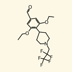 CCOc1cc(C=O)cc(OCC)c1C1CCN(CC(F)(F)C(F)(F)F)CC1